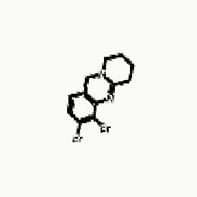 Brc1ccc2c(c1Br)N=C1CCCCN1C2